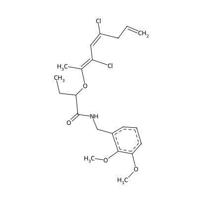 C=CC/C(Cl)=C\C(Cl)=C(/C)OC(CC)C(=O)NCc1cccc(OC)c1OC